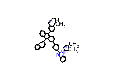 C=C/C=C\C(=C/C)n1c(-c2ccc(-c3ccc4c(-c5ccc(C=C)c(/C=C\C)c5)c5ccccc5c(-c5ccc6ccccc6c5)c4c3)cc2)nc2ccccc21